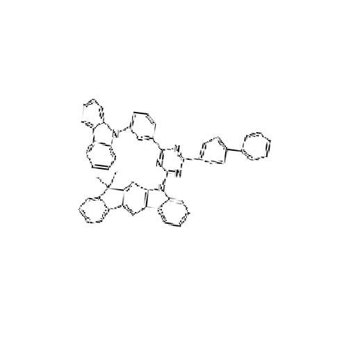 CC1(C)c2ccccc2-c2cc3c4ccccc4n(-c4nc(-c5ccc(-c6ccccc6)cc5)nc(-c5cccc(-n6c7ccccc7c7ccccc76)c5)n4)c3cc21